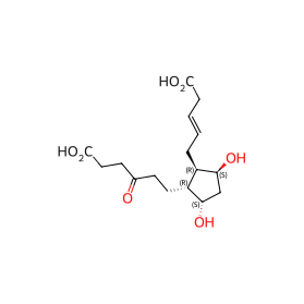 O=C(O)CC=CC[C@@H]1[C@@H](CCC(=O)CCC(=O)O)[C@@H](O)C[C@@H]1O